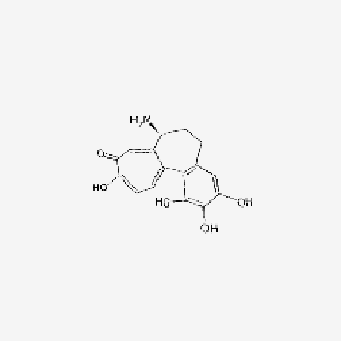 N[C@H]1CCc2cc(O)c(O)c(O)c2-c2ccc(O)c(=O)cc21